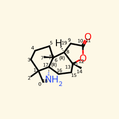 CC1(C)CCC[C@]2(C)[C@H]3CC(=O)O[C@]3(C)CC[C@@]12N